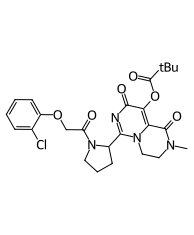 CN1CCn2c(C3CCCN3C(=O)COc3ccccc3Cl)nc(=O)c(OC(=O)C(C)(C)C)c2C1=O